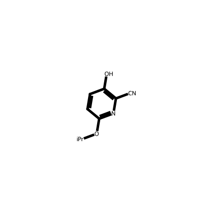 CC(C)Oc1ccc(O)c(C#N)n1